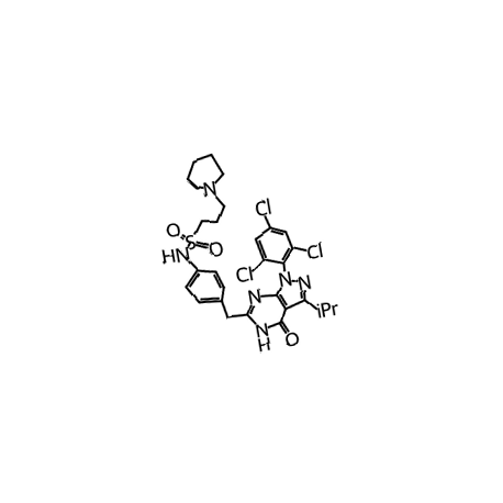 CC(C)c1nn(-c2c(Cl)cc(Cl)cc2Cl)c2nc(Cc3ccc(NS(=O)(=O)CCCN4CCCCC4)cc3)[nH]c(=O)c12